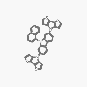 c1ccc2c(-n3c4cc(-n5c6ccsc6c6sccc65)ccc4c4ccc(-n5c6ccsc6c6sccc65)cc43)cccc2c1